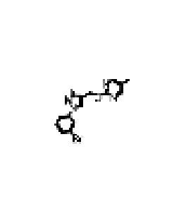 Cc1cnc(OCc2cn(-c3cccc(Br)c3)nn2)nc1